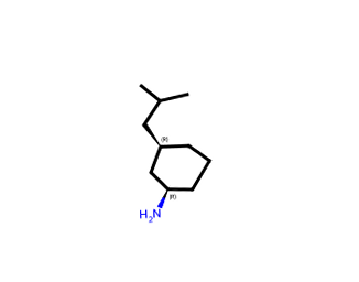 CC(C)C[C@H]1CCC[C@@H](N)C1